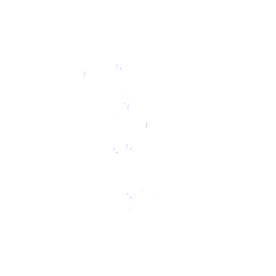 O=c1c2cccc(-n3ncc(C(O)Nc4ccnc(C(F)(F)F)c4)c3C(F)(F)F)c2ccn1O